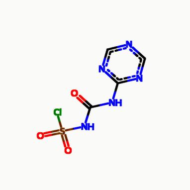 O=C(Nc1ncncn1)NS(=O)(=O)Cl